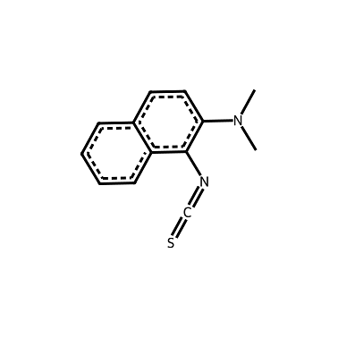 CN(C)c1ccc2ccccc2c1N=C=S